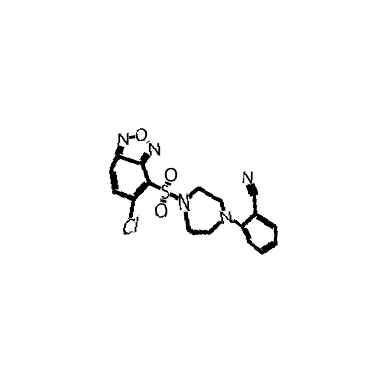 N#Cc1ccccc1N1CCN(S(=O)(=O)c2c(Cl)ccc3nonc23)CC1